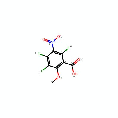 COc1c(F)c(F)c([N+](=O)[O-])c(F)c1C(=O)O